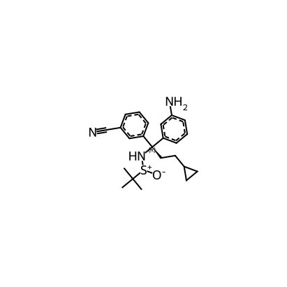 CC(C)(C)[S+]([O-])N[C@@](CCC1CC1)(c1cccc(N)c1)c1cccc(C#N)c1